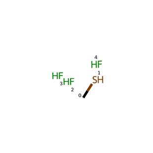 CS.F.F.F